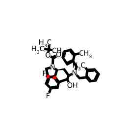 Cc1ccccc1CN(Cc1ccccc1C)C(C[C@H]1CCCN1C(=O)OC(C)(C)C)C(O)c1cc(F)cc(F)c1